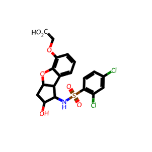 O=C(O)COc1cccc2c1OC1CC(O)C(NS(=O)(=O)c3ccc(Cl)cc3Cl)C21